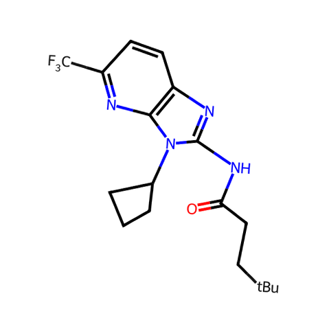 CC(C)(C)CCC(=O)Nc1nc2ccc(C(F)(F)F)nc2n1C1CCC1